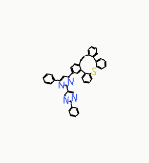 C1=C\c2ccc(-c3cc(-c4ccccc4)nc(-c4cnc(-c5ccccc5)nc4)n3)cc2-c2ccccc2Sc2ccccc2-c2ccccc2/1